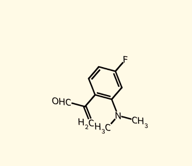 C=C(C=O)c1ccc(F)cc1N(C)C